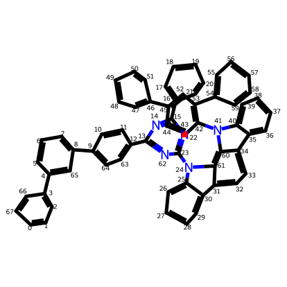 c1ccc(-c2cccc(-c3ccc(-c4nc(-c5ccccc5)nc(-n5c6ccccc6c6ccc7c8ccccc8n(-c8ccc(-c9ccccc9)cc8-c8ccccc8)c7c65)n4)cc3)c2)cc1